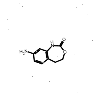 Nc1ccc2c(c1)NC(=O)OCC2